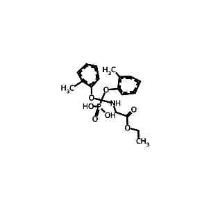 CCOC(=O)CNC(Oc1ccccc1C)(Oc1ccccc1C)P(=O)(O)O